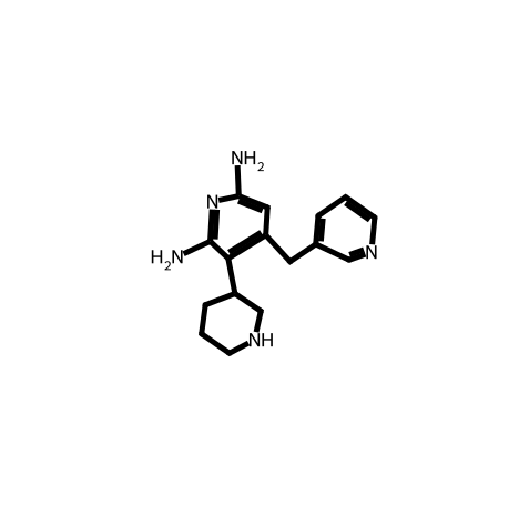 Nc1cc(Cc2cccnc2)c(C2CCCNC2)c(N)n1